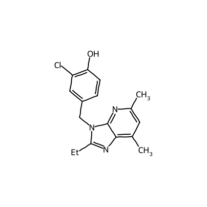 CCc1nc2c(C)cc(C)nc2n1Cc1ccc(O)c(Cl)c1